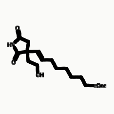 CCCCCCCCCCCCCCCCC=CC1(CCO)CC(=O)NC1=O